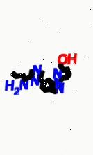 CCC[C@H](N)c1cncc(-c2ccc3cnn(-c4cccc(CO)n4)c3c2)n1